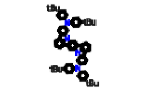 CC(C)(C)c1ccc(N(c2ccc(C(C)(C)C)cc2)c2ccc3c4cccc5c6cc7c(cc6n(c3c2)c45)c2cccc3c4ccc(N(c5ccc(C(C)(C)C)cc5)c5ccc(C(C)(C)C)cc5)cc4n7c32)cc1